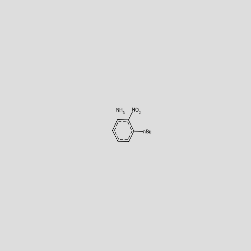 CCCCc1ccccc1[N+](=O)[O-].N